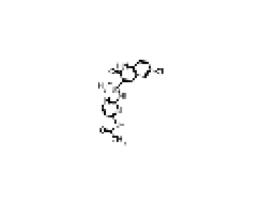 CC(=O)Nc1ccnc(N[C@@H](C)c2cc3cc(Cl)ccc3[nH]c2=O)n1